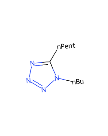 CCCCCc1nnnn1CCCC